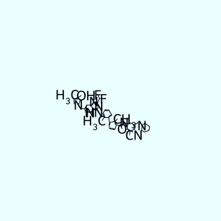 Cc1c(Nc2nc(C(F)F)nc3cc(CN4CC[C@@](C)(O)C4)cnc23)cccc1-c1cccc(-c2nc3cc(CN4CCCCC4)cc(C#N)c3o2)c1C